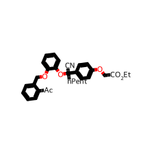 CCCCCC(C#N)(Oc1ccccc1OCc1ccccc1C(C)=O)c1ccc(OCC(=O)OCC)cc1